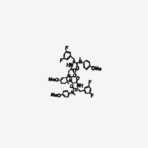 COC1=CC2N(CC(=O)N[C@@H](Cc3cc(F)cc(F)c3)C(=O)N(C)c3ccc(OC)cc3)C(=O)N(CC(=O)N[C@@H](Cc3cc(F)cc(F)c3)C(=O)N(C)c3ccc(OC)cc3)C2(C)C=C1